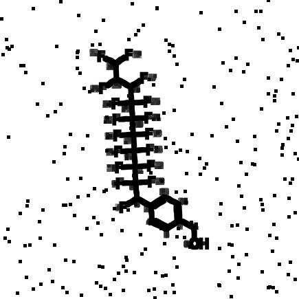 OCc1ccc(C(F)C(F)(F)C(F)(F)C(F)(F)C(F)(F)C(F)(F)C(F)(F)C(F)C(F)C(F)F)cc1